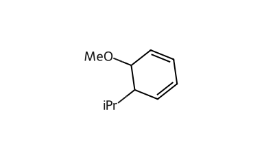 COC1C=CC=CC1C(C)C